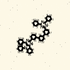 c1ccc(-c2nc(-c3ccccc3)nc(-c3cccc(-c4cccc(-c5cccc(-c6nc(-c7ccccc7)c7c(n6)c6ccccc6n7-c6ccccc6)c5)c4)c3)n2)cc1